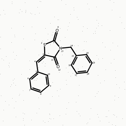 O=C1SC(=Cc2ccccc2)C(=O)N1Cc1ccccc1